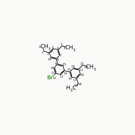 CCc1cc(CC)cc(-c2cc(Br)cc(-c3cc(CC)cc(CC)c3)c2)c1